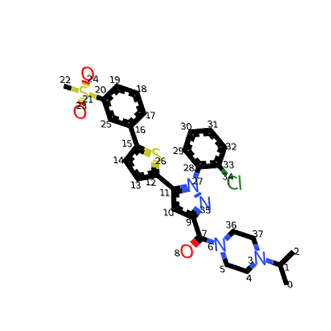 CC(C)N1CCN(C(=O)c2cc(-c3ccc(-c4cccc(S(C)(=O)=O)c4)s3)n(-c3ccccc3Cl)n2)CC1